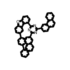 c1ccc(-c2ccc(-c3ccc4oc5cccc(-c6nc(-c7ccc8ccccc8c7)nc(-c7ccc8ccc9ccccc9c8c7)n6)c5c4c3)cc2)cc1